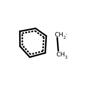 [CH2]C.c1ccccc1